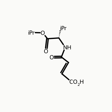 CC(C)OC(=O)[C@@H](NC(=O)/C=C/C(=O)O)C(C)C